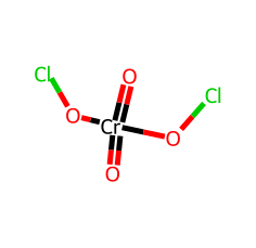 [O]=[Cr](=[O])([O]Cl)[O]Cl